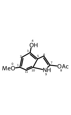 COc1cc(O)c2cc(OC(C)=O)[nH]c2c1